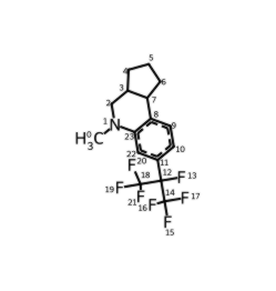 CN1CC2CCCC2c2ccc(C(F)(C(F)(F)F)C(F)(F)F)cc21